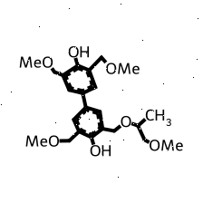 COCc1cc(-c2cc(COC)c(O)c(COC(C)COC)c2)cc(COC)c1O